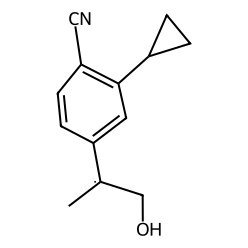 C[C](CO)c1ccc(C#N)c(C2CC2)c1